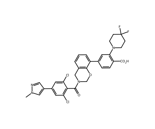 Cn1cc(-c2cc(Cl)c(C(=O)N3COc4c(cccc4-c4ccc(C(=O)O)c(N5CCC(F)(F)CC5)c4)C3)c(Cl)c2)cn1